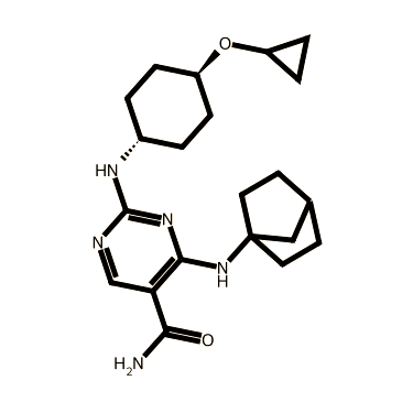 NC(=O)c1cnc(N[C@H]2CC[C@H](OC3CC3)CC2)nc1NC12CCC(CC1)C2